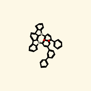 c1ccc(-c2ccc(-n3c4ccccc4c4ccc5c6ccccc6n(-c6cccc(-c7cccc(-c8ccccc8)c7)c6)c5c43)cc2)cc1